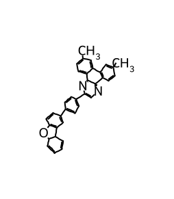 Cc1ccc2c(c1)c1cc(C)ccc1c1nc(-c3ccc(-c4ccc5c(c4)C4C=CC=CC4O5)cc3)cnc21